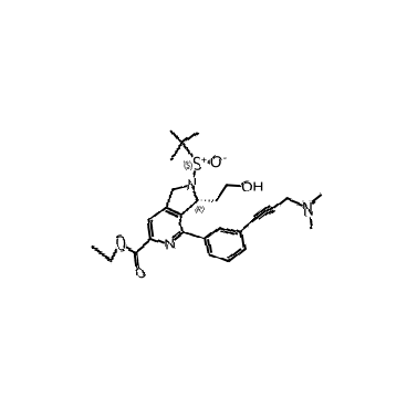 CCOC(=O)c1cc2c(c(-c3cccc(C#CCN(C)C)c3)n1)[C@@H](CCO)N([S@+]([O-])C(C)(C)C)C2